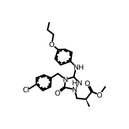 CCCOc1ccc(NC2NN(C[C@H](C)C(=O)OC)C(=O)N2Cc2ccc(Cl)cc2)cc1